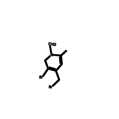 CC1=CC(CBr)=C(Br)CN1C=O